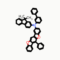 CC1(C)C2=CCCC=C2c2ccc(N(c3cccc(-c4ccccc4)c3)c3ccc4oc5c(-c6ccccc6)c6c(cc5c4c3)oc3ccccc36)cc21